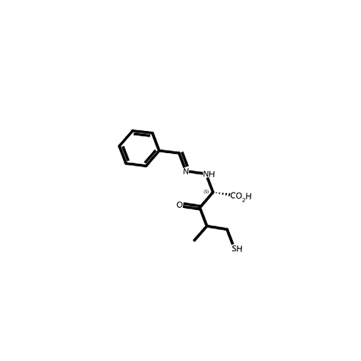 CC(CS)C(=O)[C@H](NN=Cc1ccccc1)C(=O)O